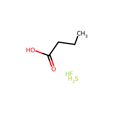 CCCC(=O)O.F.S